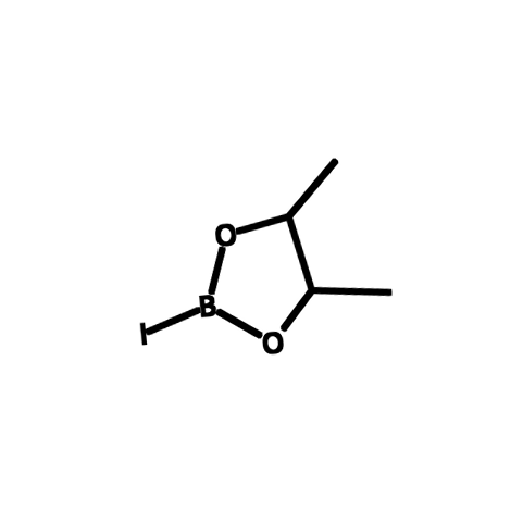 CC1OB(I)OC1C